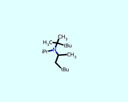 CC(C)N(C(C)CC(C)(C)C)C(C)(C)C(C)(C)C